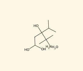 CC(C)C(O)(CC(O)O)C(C)(C)N.O